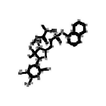 CC(C)OC(=O)[C@@H](C)N[P@](=O)(OC[C@H]1O[C@@H](n2cc(Br)c(N)nc2=O)[C@](C)(F)[C@@H]1O)Oc1cccc2ccccc12